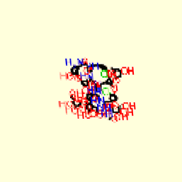 CC(=O)NC1C(OC2c3ccc(c(Cl)c3)Oc3cc4cc(c3OC3CC(O)CC(C)O3)Oc3ccc(cc3Cl)C[C@H]3NC(=O)C(N)c5ccc(O)c(c5)Oc5cc(O)cc(c5)[C@H](NC3=O)C(=O)N[C@H]4C(=O)NC3C(=O)NC2C(=O)NC(C(=O)O)c2cc(O)cc(O[C@H]4OC(CO)[C@@H](O)C(O)C4O)c2-c2cc3ccc2O)O[C@H](CO)C(O)[C@@H]1O